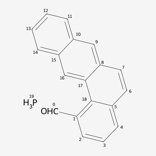 O=Cc1cccc2ccc3cc4ccccc4cc3c12.P